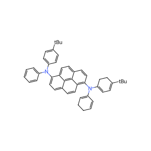 CC(C)(C)C1=CC=C(N(C2=CCCC=C2)c2ccc3ccc4c(N(c5ccccc5)c5ccc(C(C)(C)C)cc5)ccc5ccc2c3c54)CC1